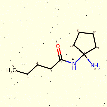 CCCCC(=O)NC1(N)CCCC1